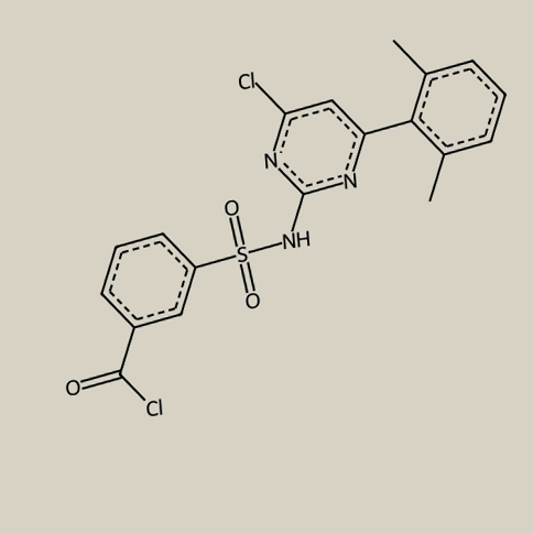 Cc1cccc(C)c1-c1cc(Cl)nc(NS(=O)(=O)c2cccc(C(=O)Cl)c2)n1